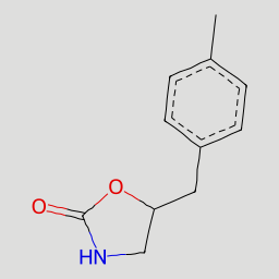 Cc1ccc(CC2CNC(=O)O2)cc1